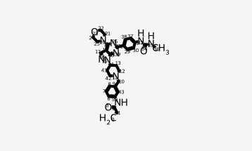 C=CC(=O)Nc1cccc(CN2CCC(n3ncc4c(N5CCOCC5)nc(-c5ccc(NC(=O)NC)cc5)nc43)CC2)c1